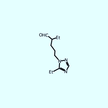 CCc1ncnn1CCCC(C=O)CC